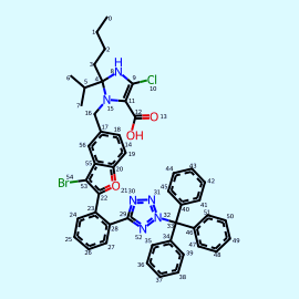 CCCCC1(C(C)C)NC(Cl)=C(C(=O)O)N1Cc1ccc2oc(-c3ccccc3-c3nnn(C(c4ccccc4)(c4ccccc4)c4ccccc4)n3)c(Br)c2c1